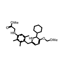 COCOC1=CC=C(Cc2c(C)cc(NCC(=O)OC)c(C)c2C)NC1C1CCCCC1